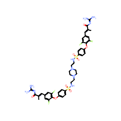 C/C(=C\c1cc(F)c(Oc2ccc(S(=O)(=O)NCCN3CCN(CCNS(=O)(=O)c4ccc(Oc5c(F)cc(/C=C(\C)C(=O)N=C(N)N)cc5F)cc4)CC3)cc2)c(F)c1)C(=O)N=C(N)N